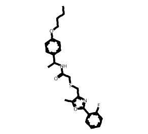 CCCCOc1ccc(C(C)NC(=O)CSCc2nc(-c3ccccc3F)oc2C)cc1